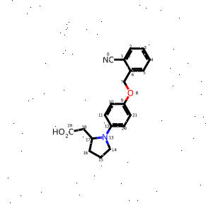 N#Cc1ccccc1COc1ccc(N2CCCC2CC(=O)O)cc1